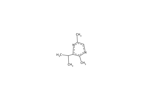 Cc1cnc(C)c(C(C)C)n1